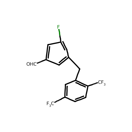 O=Cc1cc(F)cc(Cc2cc(C(F)(F)F)ccc2C(F)(F)F)c1